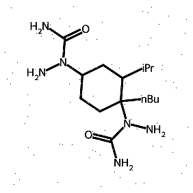 CCCCC1(N(N)C(N)=O)CCC(N(N)C(N)=O)CC1C(C)C